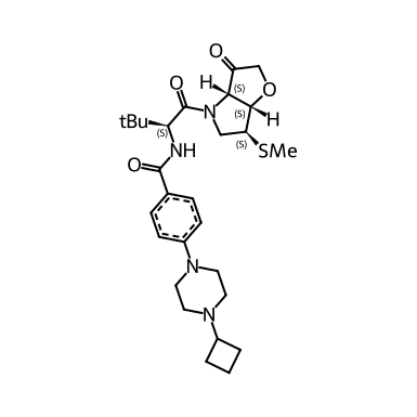 CS[C@H]1CN(C(=O)[C@@H](NC(=O)c2ccc(N3CCN(C4CCC4)CC3)cc2)C(C)(C)C)[C@@H]2C(=O)CO[C@H]12